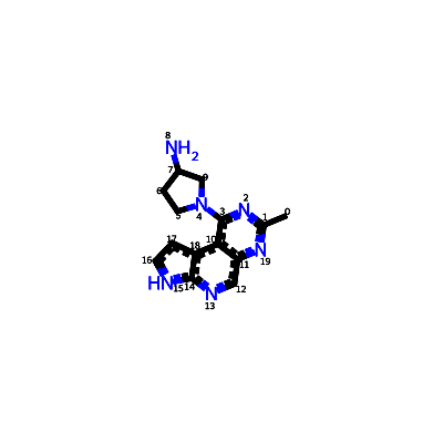 Cc1nc(N2CCC(N)C2)c2c(cnc3[nH]ccc32)n1